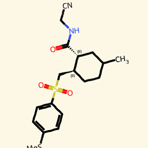 CSc1ccc(S(=O)(=O)C[C@@H]2CCC(C)C[C@H]2C(=O)NCC#N)cc1